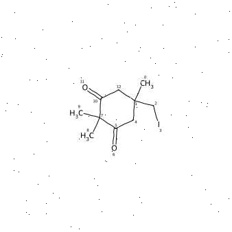 CC1(CI)CC(=O)C(C)(C)C(=O)C1